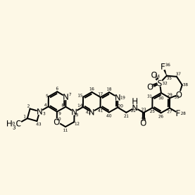 CC1CN(c2ccnc3c2OCCN3c2ccc3cnc(CNC(=O)c4cc(F)c5c(c4)S(=O)(=O)[C@@H](F)CCO5)cc3n2)C1